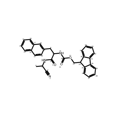 CC(C#N)NC(=O)C(Cc1ccc2ccccc2c1)NC(=O)OCC1c2ccccc2-c2ccccc21